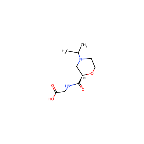 CC(C)N1CCO[C@@H](C(=O)NCC(=O)O)C1